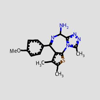 COc1ccc(C2=NC(N)c3nnc(C)n3-c3sc(C)c(C)c32)cc1